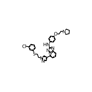 Clc1cccc(SCCn2cc(-c3cccc4nc(Nc5ccc(OCCN6CCCC6)cc5)nn34)cn2)c1